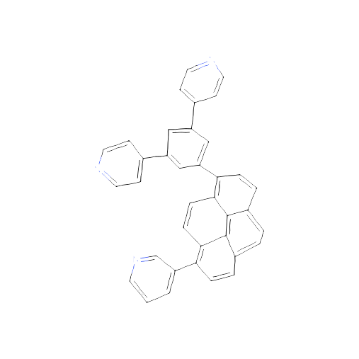 c1cncc(-c2ccc3ccc4ccc(-c5cc(-c6ccncc6)cc(-c6ccncc6)c5)c5ccc2c3c45)c1